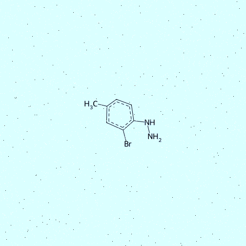 Cc1ccc(NN)c(Br)c1